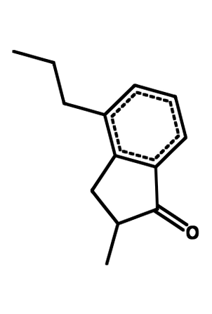 CCCc1cccc2c1CC(C)C2=O